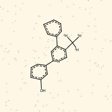 [2H]C([2H])([2H])c1cnc(-c2cccc(O)c2)cc1-c1ccccc1